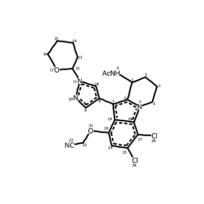 CC(=O)NC1CCCn2c1c(-c1cnn(C3CCCCO3)c1)c1c(OCC#N)cc(Cl)c(Cl)c12